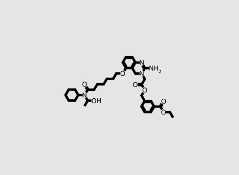 CCOC(=O)c1cccc(COC(=O)CN2Cc3c(cccc3OCCCCCCC(=O)N(C(C)O)C3CCCCC3)N=C2N)c1